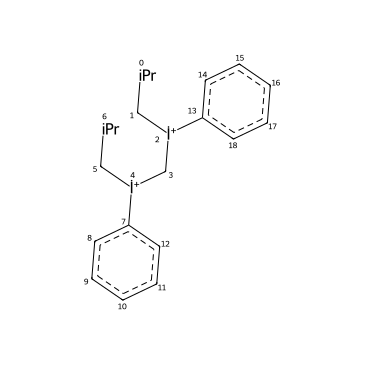 CC(C)C[I+](C[I+](CC(C)C)c1ccccc1)c1ccccc1